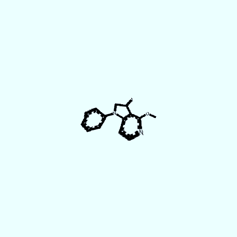 COc1nccc2c1C(I)CN2c1ccccc1